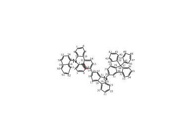 c1ccc(N(c2ccccc2-c2ccc(-c3ccc4c5ccccc5n(-c5ccc6c(c5)-c5ccccc5C6(c5ccccc5)c5ccccc5)c4c3)cc2)c2cccc3ccccc23)cc1